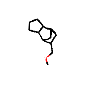 COCC1CC2CC1C1CCCC21